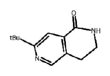 CC(C)(C)c1cc2c(cn1)CCNC2=O